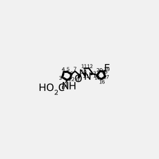 O=C(O)Nc1cccc(CC(=O)N2CCC(c3cccc(F)c3)=N2)c1